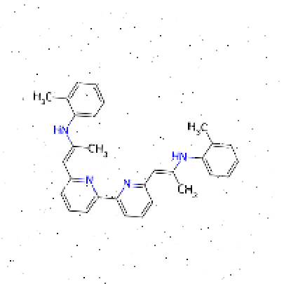 C/C(=C\c1cccc(-c2cccc(/C=C(\C)Nc3ccccc3C)n2)n1)Nc1ccccc1C